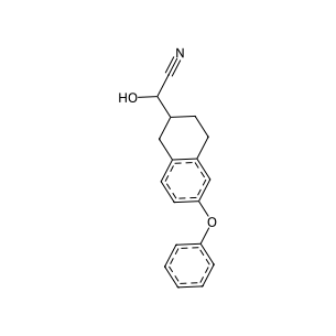 N#CC(O)C1CCc2cc(Oc3ccccc3)ccc2C1